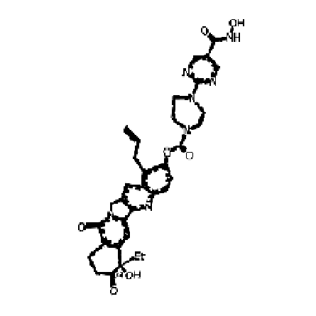 C=CCc1c(OC(=O)N2CCN(c3ncc(C(=O)NO)cn3)CC2)ccc2nc3c(cc12)Cn1c-3cc2c(c1=O)CCC(=O)[C@]2(O)CC